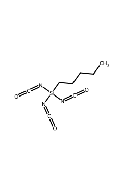 CCCCC[Si](N=C=O)(N=C=O)N=C=O